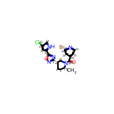 C[C@@H]1CC[C@H](c2noc(-c3cc(Cl)c[nH]3)n2)CN1C(=O)c1ccnc(Br)c1